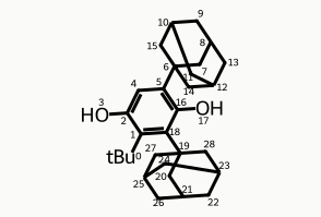 CC(C)(C)c1c(O)cc(C23CC4CC(CC(C4)C2)C3)c(O)c1C12CC3CC(CC(C3)C1)C2